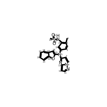 Cc1ccc(N(c2ccn3nccc3n2)c2cc3ccccc3o2)cc1NS(C)(=O)=O